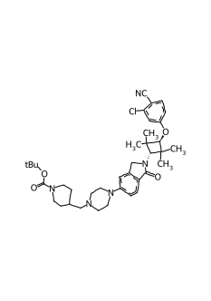 CC(C)(C)OC(=O)N1CCC(CN2CCN(c3ccc4c(c3)CN([C@H]3C(C)(C)[C@H](Oc5ccc(C#N)c(Cl)c5)C3(C)C)C4=O)CC2)CC1